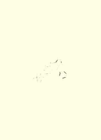 CC(C)(C)[Si](C)(C)OC1CCC(Nc2cnnn2Cc2ccccc2)CC1